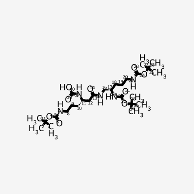 CC(C)(C)OC(=O)NCCC[C@@H](CC(=O)NC[C@@H](CCCNC(=O)OC(C)(C)C)NC(=O)OC(C)(C)C)NC(=O)O